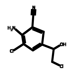 N#Cc1cc(C(O)CCl)cc(Cl)c1N